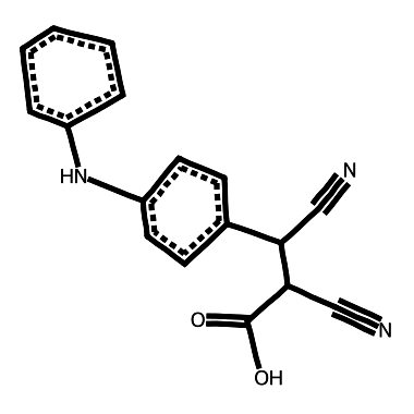 N#CC(C(=O)O)C(C#N)c1ccc(Nc2ccccc2)cc1